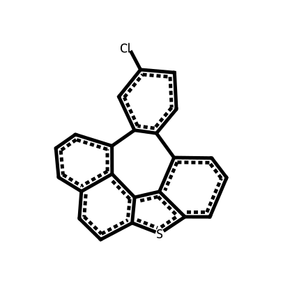 Clc1ccc2c(c1)-c1cccc3ccc4sc5cccc-2c5c4c13